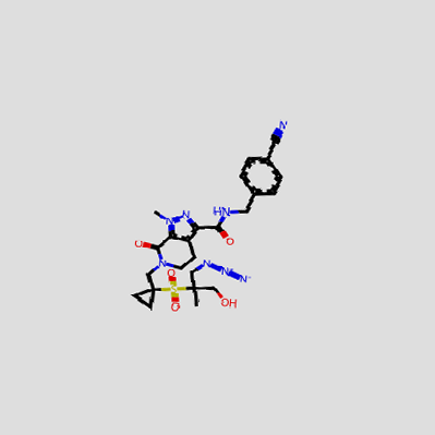 Cn1nc(C(=O)NCc2ccc(C#N)cc2)c2c1C(=O)N(CC1(S(=O)(=O)C(C)(CO)CN=[N+]=[N-])CC1)CC2